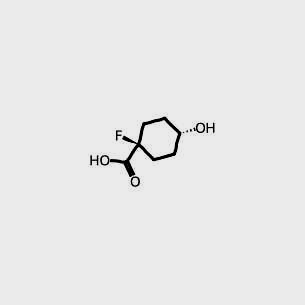 O=C(O)[C@]1(F)CC[C@H](O)CC1